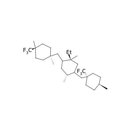 CC[C@@]1(C)CC(C[C@]2(C(F)(F)F)CC[C@H](C)CC2)[C@H](C)CC1C[C@]1(C)CC[C@](C)(C(F)(F)F)CC1